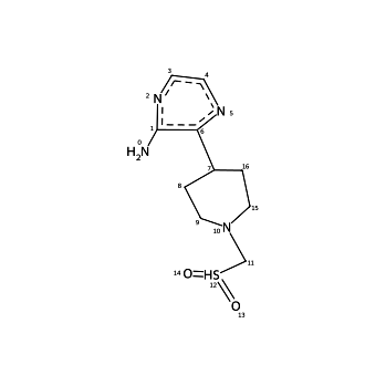 Nc1nccnc1C1CCN(C[SH](=O)=O)CC1